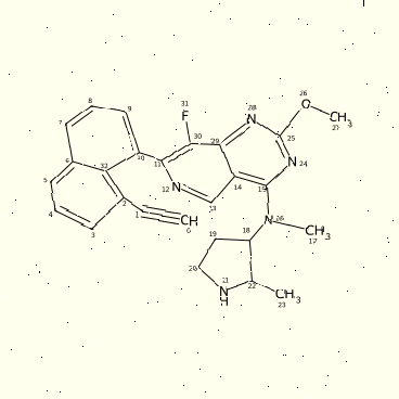 C#Cc1cccc2cccc(-c3ncc4c(N(C)C5CCNC5C)nc(OC)nc4c3F)c12